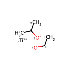 CC(C)[O-].CC[O-].[Ti+2]